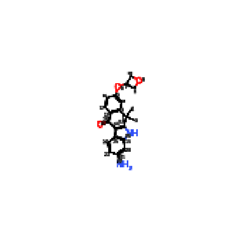 CC1(C)c2cc(OC3COC3)ccc2C(=O)c2c1[nH]c1cc(N)ccc21